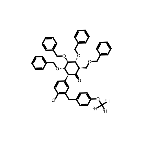 [2H]C([2H])([2H])Oc1ccc(Cc2cc([C@@H]3C(=O)[C@H](COCc4ccccc4)[C@@H](OCc4ccccc4)[C@H](OCc4ccccc4)[C@H]3OCc3ccccc3)ccc2Cl)cc1